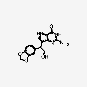 Nc1nc2c(C(CO)c3ccc4c(c3)OCO4)c[nH]c2c(=O)[nH]1